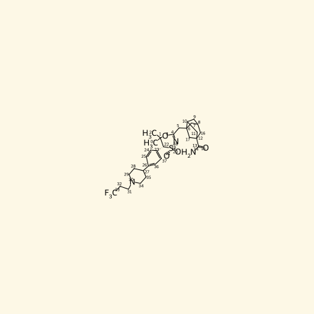 CC1(C)OC(CC23CC4CC2CC(C(N)=O)(C4)C3)=NS(=O)(=O)[C@@H]1c1ccc(C2CCN(CCC(F)(F)F)CC2)cc1